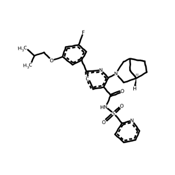 CC(C)COc1cc(F)cc(-c2ccc(C(=O)NS(=O)(=O)c3ccccn3)c(N3CC4CC[C@@H](C4)C3)n2)c1